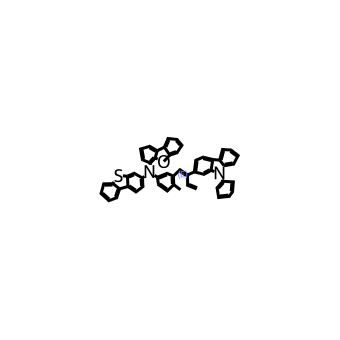 C=C/C(=C\c1cc(N(c2ccc3c(c2)sc2ccccc23)c2cccc3c2oc2ccccc23)ccc1C)c1ccc2c3ccccc3n(-c3ccccc3)c2c1